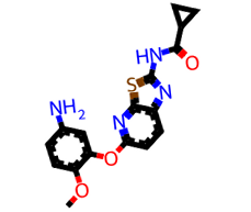 COc1ccc(N)cc1Oc1ccc2nc(NC(=O)C3CC3)sc2n1